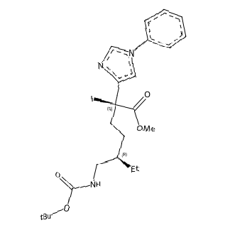 CC[C@H](CC[C@@](I)(C(=O)OC)c1cn(-c2ccccc2)cn1)CNC(=O)OC(C)(C)C